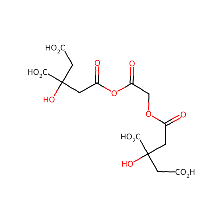 O=C(O)CC(O)(CC(=O)OCC(=O)OC(=O)CC(O)(CC(=O)O)C(=O)O)C(=O)O